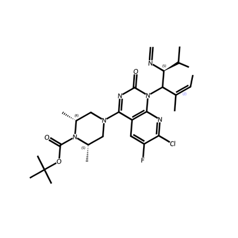 C=N[C@@H](C(C)C)C(/C(C)=C\C)n1c(=O)nc(N2C[C@@H](C)N(C(=O)OC(C)(C)C)[C@@H](C)C2)c2cc(F)c(Cl)nc21